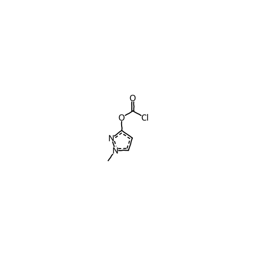 Cn1ccc(OC(=O)Cl)n1